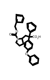 O=C(OCc1ccccc1)N1CCCC1CC(C(=O)O)(c1ccccc1)c1ccc(Oc2ccccc2)cc1